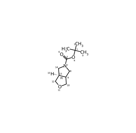 CC(C)(C)OC(=O)N1CC2COC[C@H]2C1